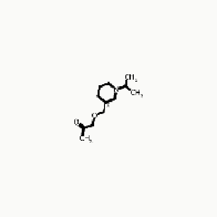 CC(=O)COC[C@H]1CCCN(C(C)C)C1